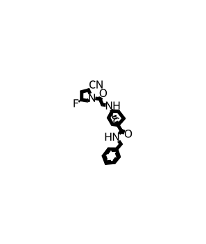 N#C[C@@H]1C[C@H](F)CN1C(=O)CNC12CCC(C(=O)NCc3ccccc3)(CC1)CC2